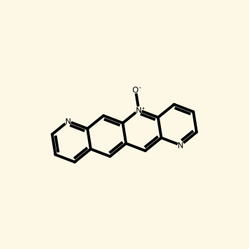 [O-][n+]1c2cc3ncccc3cc2cc2ncccc21